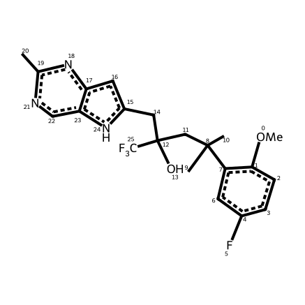 COc1ccc(F)cc1C(C)(C)CC(O)(Cc1cc2nc(C)ncc2[nH]1)C(F)(F)F